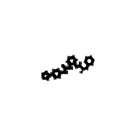 C[C@@H](CC1CCCCC1)NCc1ccccc1NC(=O)Nc1ccc(-c2csnn2)cc1